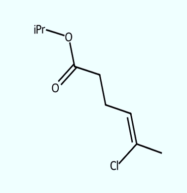 CC(Cl)=CCCC(=O)OC(C)C